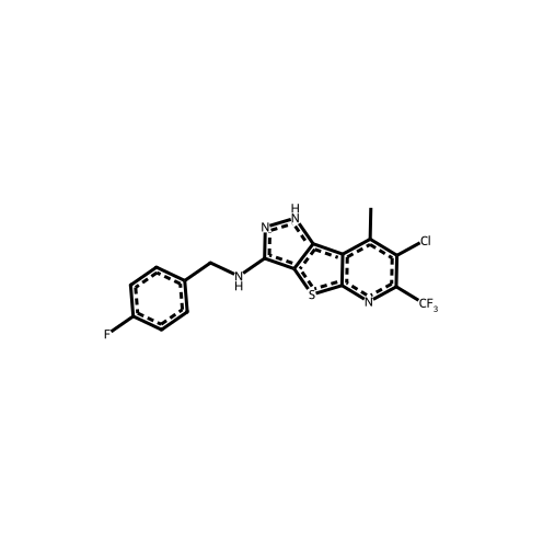 Cc1c(Cl)c(C(F)(F)F)nc2sc3c(NCc4ccc(F)cc4)n[nH]c3c12